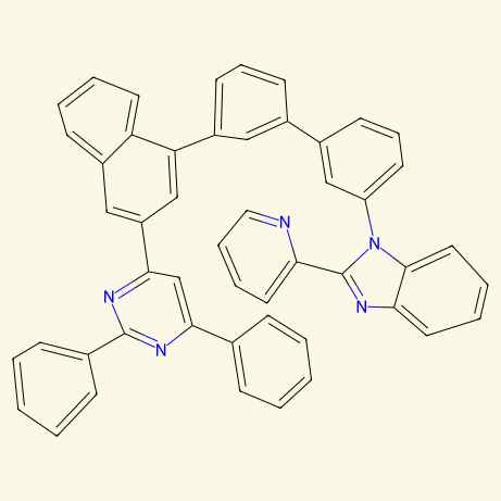 c1ccc(-c2cc(-c3cc(-c4cccc(-c5cccc(-n6c(-c7ccccn7)nc7ccccc76)c5)c4)c4ccccc4c3)nc(-c3ccccc3)n2)cc1